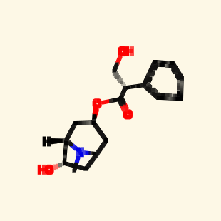 CN1C2C[C@H](OC(=O)[C@H](CO)c3ccccc3)C[C@H]1[C@@H](O)C2